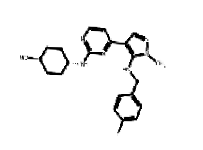 Cn1ncc(-c2ccnc(N[C@H]3CC[C@H](O)CC3)n2)c1NCc1ccc(F)cc1